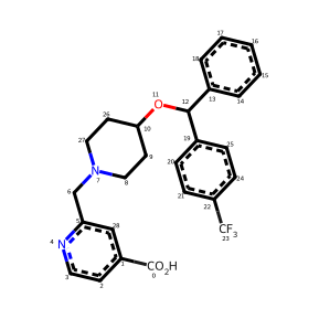 O=C(O)c1ccnc(CN2CCC(OC(c3ccccc3)c3ccc(C(F)(F)F)cc3)CC2)c1